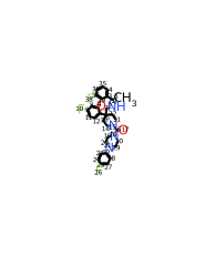 C[C@H](NC(=O)C1(c2ccc(F)cc2)CCN(C(=O)N2CCN(c3ccc(F)cc3)CC2)CC1)c1cccc(F)c1